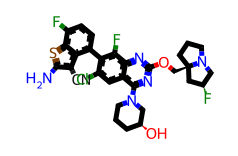 N#Cc1c(N)sc2c(F)ccc(-c3c(Cl)cc4c(N5CCC[C@@H](O)C5)nc(OC[C@@]56CCCN5C[C@H](F)C6)nc4c3F)c12